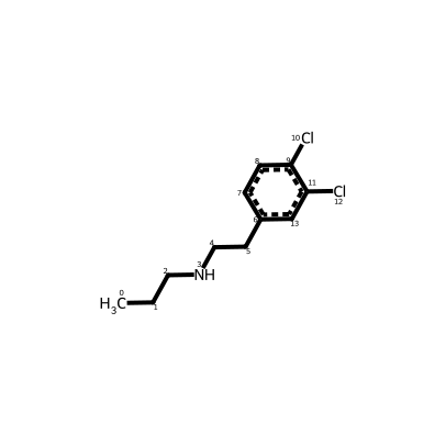 CCCNCCc1ccc(Cl)c(Cl)c1